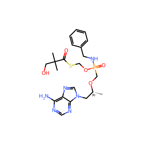 C[C@H](Cn1cnc2c(N)ncnc21)OCP(=O)(NCc1ccccc1)OCSC(=O)C(C)(C)CO